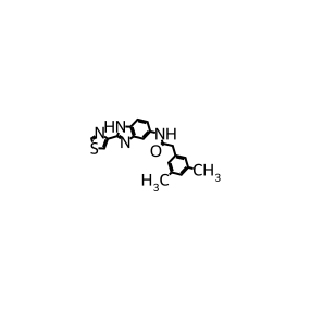 Cc1cc(C)cc(CC(=O)Nc2ccc3[nH]c(-c4cscn4)nc3c2)c1